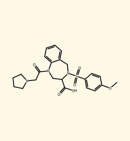 COc1ccc(S(=O)(=O)N2Cc3ccccc3N(C(=O)CN3CCCC3)CC2C(=O)O)cc1